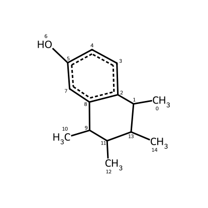 CC1c2ccc(O)cc2C(C)C(C)C1C